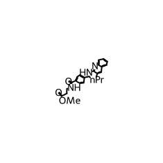 CCCC(Nc1nc2ccccc2cc1C)c1ccc(C(=O)NCCC(=O)OC)cc1